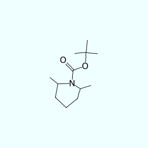 CC1CCCC(C)N1C(=O)OC(C)(C)C